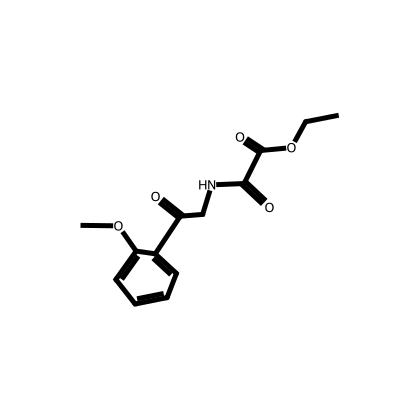 CCOC(=O)C(=O)NCC(=O)c1ccccc1OC